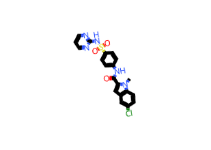 Cn1c(C(=O)Nc2ccc(S(=O)(=O)Nc3ncccn3)cc2)cc2cc(Cl)ccc21